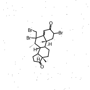 C[C@H]1[C@@H]2[C@H](CC[C@]3(C)C(=O)CC[C@@H]23)[C@@]2(C)CC(Br)C(=O)C=C2C1(Br)CBr